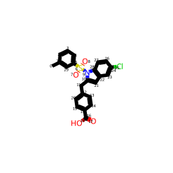 Cc1cccc(S(=O)(=O)n2c(Cc3ccc(C(=O)O)cc3)cc3cc(Cl)ccc32)c1